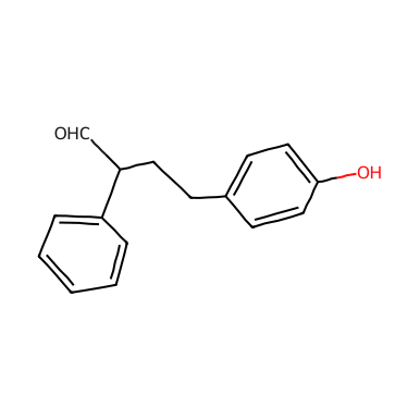 O=CC(CCc1ccc(O)cc1)c1ccccc1